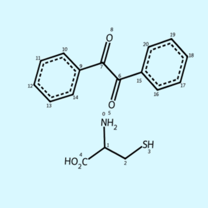 NC(CS)C(=O)O.O=C(C(=O)c1ccccc1)c1ccccc1